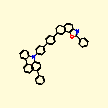 C1=C(c2ccc(-c3ccc(N(c4ccc(-c5ccccc5)cc4)c4ccccc4-c4ccccc4)cc3)cc2)CCc2ccc3nc(-c4ccccc4)oc3c21